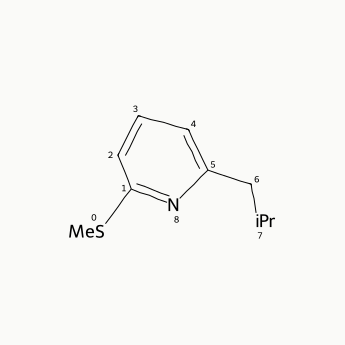 CSc1cccc(CC(C)C)n1